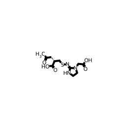 CC(=O)C[C@H](CS/N=C1\NCCN1CC(=O)O)C(=O)O